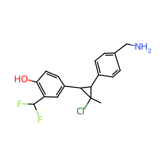 CC1(Cl)C(c2ccc(CN)cc2)C1c1ccc(O)c(C(F)F)c1